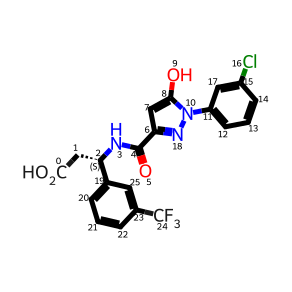 O=C(O)C[C@H](NC(=O)c1cc(O)n(-c2cccc(Cl)c2)n1)c1cccc(C(F)(F)F)c1